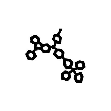 Fc1ccc(N(c2ccc(-c3ccc([Si](c4ccccc4)(c4ccccc4)c4ccccc4)cc3)cc2)c2ccc3c(c2)c2ccccc2n3-c2ccccc2)cc1